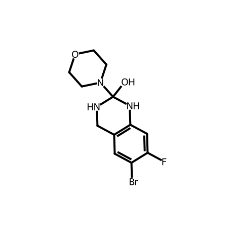 OC1(N2CCOCC2)NCc2cc(Br)c(F)cc2N1